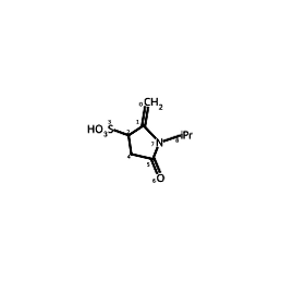 C=C1C(S(=O)(=O)O)CC(=O)N1C(C)C